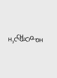 CC(C)COCc1ccc(OCCO)cc1